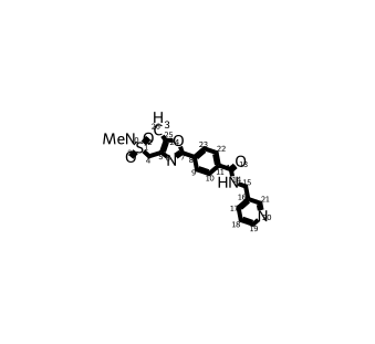 CNS(=O)(=O)Cc1nc(-c2ccc(C(=O)NCc3cccnc3)cc2)oc1C